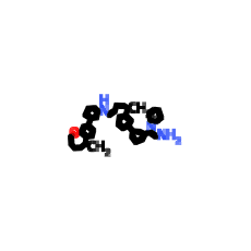 C=C(/C=C\C=C/Nc1cccc(-c2ccc3c(c2)O/C=C\C=C/C3=C)c1)c1cccc(-c2cccc(/C(=C/N)N3C4C=CC=C[C@H]43)c2)c1